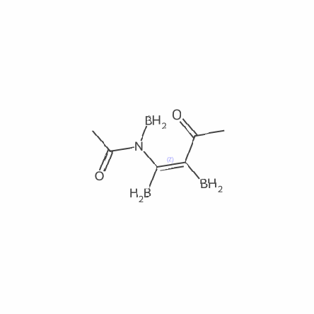 B/C(C(C)=O)=C(\B)N(B)C(C)=O